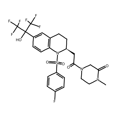 CN1CCN(C(=O)C[C@@H]2CCc3cc(C(O)(C(F)(F)F)C(F)(F)F)ccc3N2S(=O)(=O)c2ccc(F)cc2)CC1=O